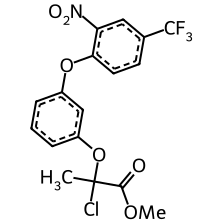 COC(=O)C(C)(Cl)Oc1cccc(Oc2ccc(C(F)(F)F)cc2[N+](=O)[O-])c1